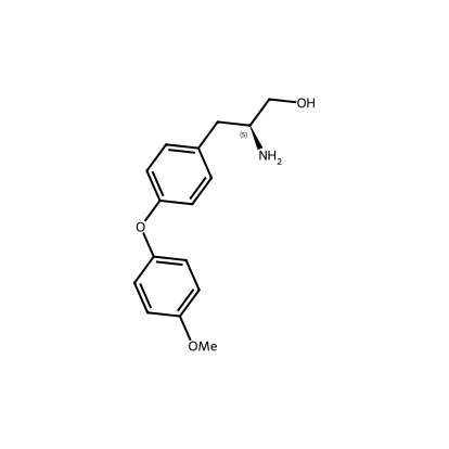 COc1ccc(Oc2ccc(C[C@H](N)CO)cc2)cc1